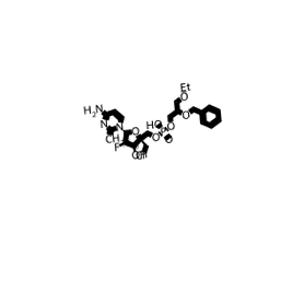 C=C1N=C(N)C=CN1[C@@H]1O[C@](CCl)(COP(=O)(O)OCC(COCC)OCc2ccccc2)[C@@H](O)[C@H]1F